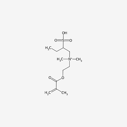 C=C(C)C(=O)OCC[N+](C)(C)CC(CC)S(=O)(=O)O